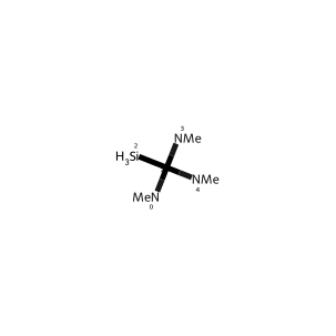 CNC([SiH3])(NC)NC